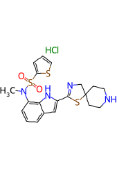 CN(c1cccc2cc(C3=NCC4(CCNCC4)S3)[nH]c12)S(=O)(=O)c1cccs1.Cl